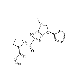 CC(C)(C)OC(=O)N1CCC[C@@H]1C(=O)c1nc2n(n1)[C@H](c1ccccc1)C[C@@H]2F